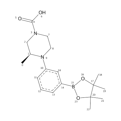 C[C@H]1CN(C(=O)O)CCN1c1cccc(B2OC(C)(C)C(C)(C)O2)c1